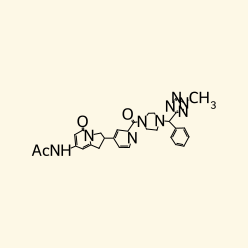 CC(=O)Nc1cc2n(c(=O)c1)CC(c1ccnc(C(=O)N3CCN(C(c4ccccc4)c4nnn(C)n4)CC3)c1)C2